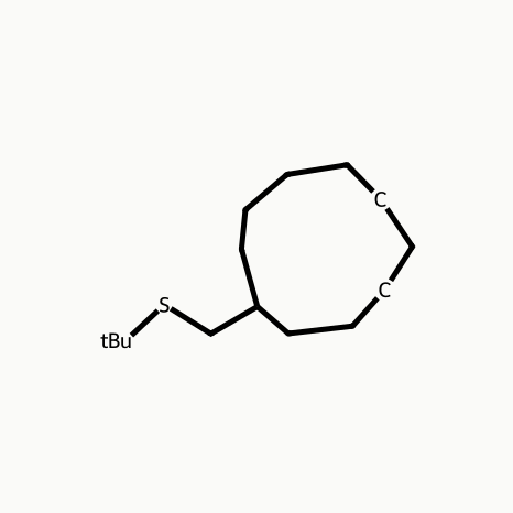 CC(C)(C)SCC1CCCCCCCCC1